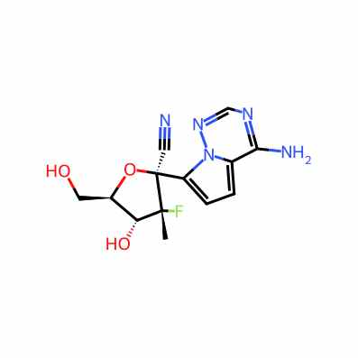 C[C@@]1(F)[C@H](O)[C@@H](CO)O[C@@]1(C#N)c1ccc2c(N)ncnn12